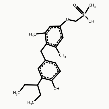 CCC(CC)c1cc(Cc2c(C)cc(OCP(C)(=O)O)cc2C)ccc1O